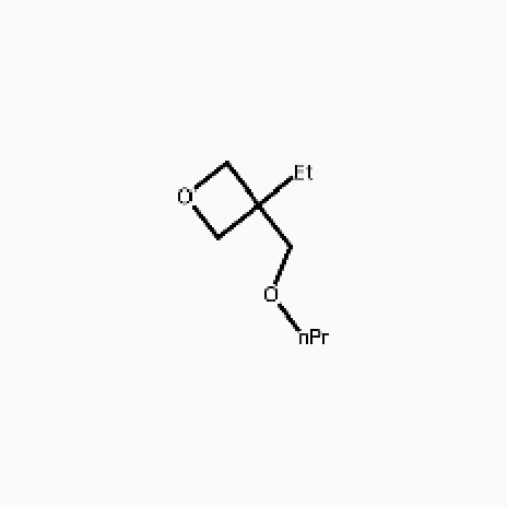 CCCOCC1(CC)COC1